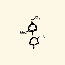 COc1cc(OC(F)(F)F)ccc1[C@@H]1CCNC[C@@H]1C